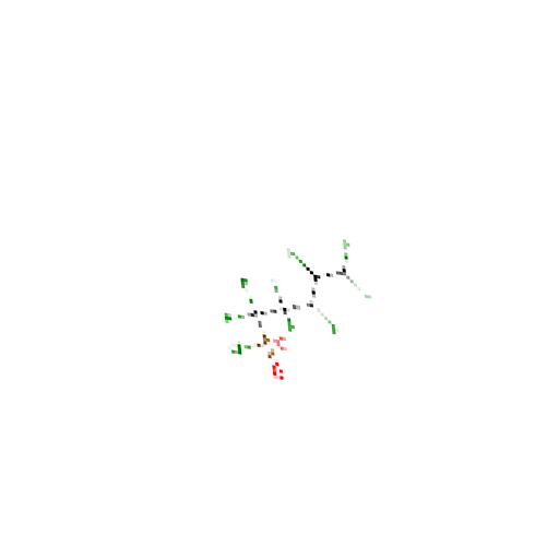 O=S(=O)(Cl)C(F)(F)C(F)(F)C(F)C(F)C(F)F